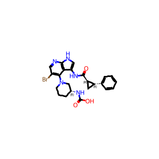 O=C(O)N[C@@H]1CCCN(c2c(Br)cnc3[nH]cc(NC(=O)[C@@H]4C[C@H]4c4ccccc4)c23)C1